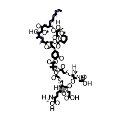 C\C=C/C=C/C=C/[C@@H](C)C[C@@H](C)C(=O)[C@H](OC)[C@H](O)/C(C)=C/[C@@H](C)C(=O)C[C@H](OC(=O)[C@@H]1CCCCN1C(=O)C(=O)[C@](C)(O)OC)[C@H](C)C[C@@H]1CC[C@@H](OC(=O)C(C)(COC(=O)CSC[C@H](NC)C(=O)NCC(=O)O)COC(=O)CSC[C@H](NC(=O)CC[C@H](N)C(=O)O)C(=O)NCC(=O)O)[C@H](OC)C1